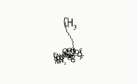 C#C[C@]1(CO[P@@](=O)(N[C@@H](Cc2cc(F)cc(F)c2)C(=O)OCCCCCCCCCCCCCCC)Oc2ccccc2)O[C@@H](n2cnc3c(N)nc(F)nc32)C[C@@H]1O